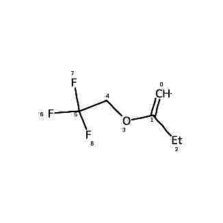 [CH]=C(CC)OCC(F)(F)F